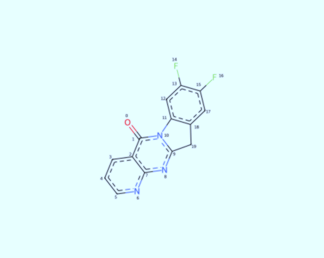 O=c1c2cccnc2nc2n1-c1cc(F)c(F)cc1C2